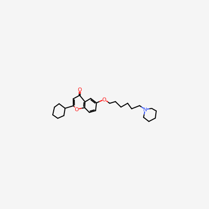 O=c1cc(C2CCCCC2)oc2ccc(OCCCCCCN3CCCCC3)cc12